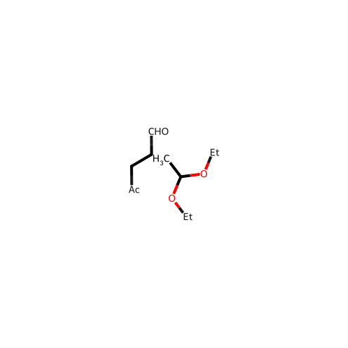 CC(=O)CCC=O.CCOC(C)OCC